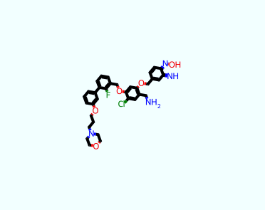 N=C1C=C(COc2cc(OCc3cccc(-c4cccc(OCCCN5CCOCC5)c4)c3F)c(Cl)cc2CN)C=C/C1=N/O